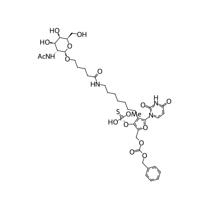 COP(O)(=S)Oc1c(COC(=O)OCc2ccccc2)oc(-n2ccc(=O)[nH]c2=O)c1CCCCCCCNC(=O)CCCCO[C@@H]1O[C@H](CO)[C@H](O)[C@H](O)[C@H]1NC(C)=O